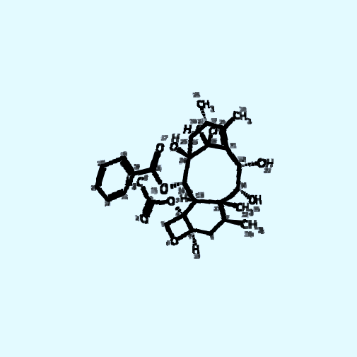 CC(=O)O[C@@]12CO[C@@H]1C[C@H](C)[C@]1(C)[C@@H]2[C@H](OC(=O)c2ccccc2)[C@]2(O)C[C@H](C)C(C)=C([C@H](O)[C@@H]1O)C2(C)C